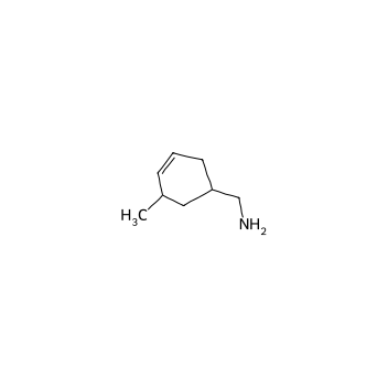 CC1C=CCC(CN)C1